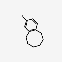 Oc1ccc2c(c1)CCCCCC2